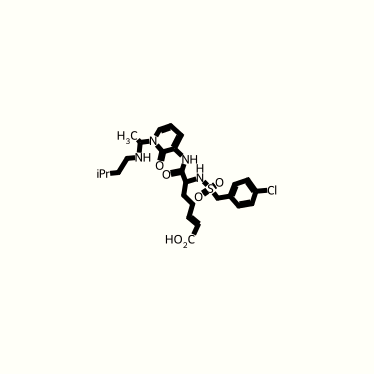 CC(C)CCNC(C)n1cccc(NC(=O)C(CCC=CC(=O)O)NS(=O)(=O)Cc2ccc(Cl)cc2)c1=O